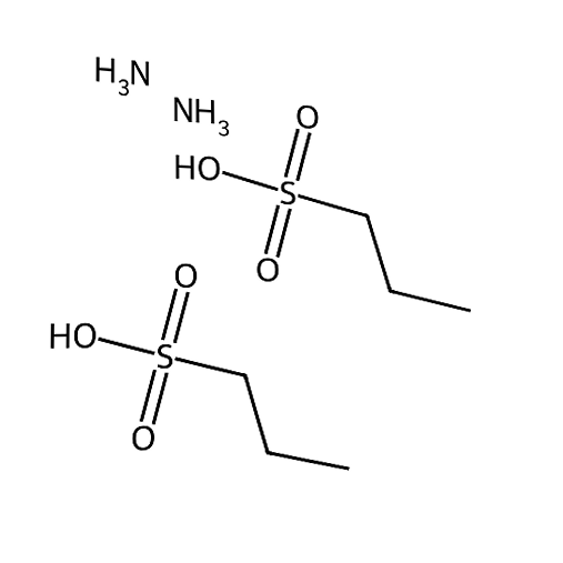 CCCS(=O)(=O)O.CCCS(=O)(=O)O.N.N